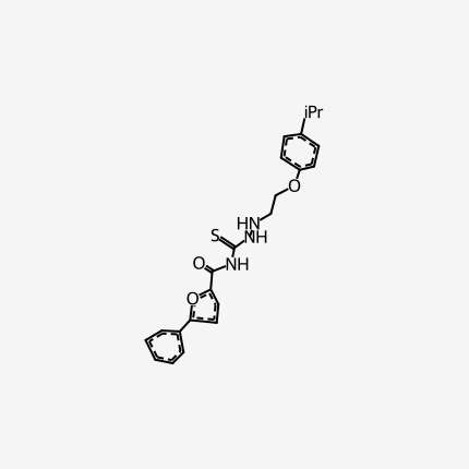 CC(C)c1ccc(OCCNNC(=S)NC(=O)c2ccc(-c3ccccc3)o2)cc1